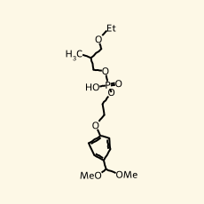 CCOCC(C)COP(=O)(O)OCCOc1ccc(C(OC)OC)cc1